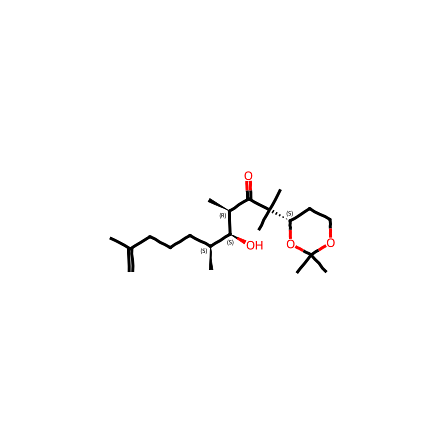 C=C(C)CCC[C@H](C)[C@H](O)[C@@H](C)C(=O)C(C)(C)[C@@H]1CCOC(C)(C)O1